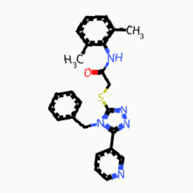 Cc1cccc(C)c1NC(=O)CSc1nnc(-c2cccnc2)n1Cc1ccccc1